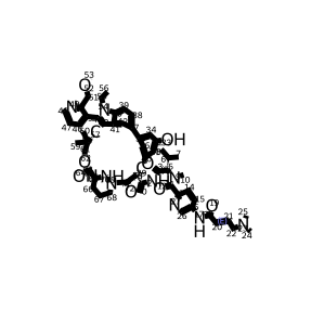 C=C(NC(=O)[C@H](C(C)C)N(C)C(=O)c1ccc(NC(=O)/C=C/CN(C)C)cn1)[C@H]1Cc2cc(O)cc(c2)-c2ccc3c(c2)c(c(-c2cccnc2COC)n3CC)CC(C)(C)COC(=O)[C@@H]2CCCN(N2)C1=O